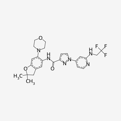 CC1(C)Cc2cc(NC(=O)c3ccn(-c4ccnc(NCC(F)(F)F)c4)n3)c(N3CCOCC3)cc2O1